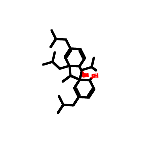 CC(C)CC1=CC(CC(C)C)(C(C)C2(CC(C)C)C=C(CC(C)C)C=CC2O)C(O)C=C1